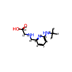 CC(C)(C)Nc1cccc(CNCC(=O)O)n1